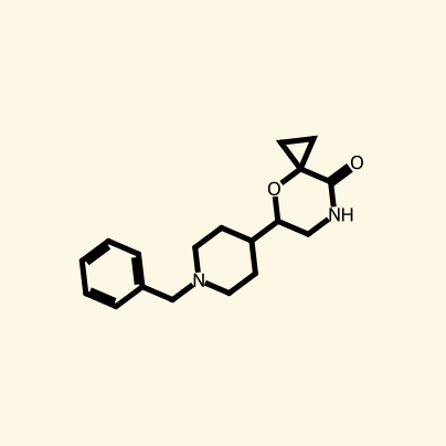 O=C1NCC(C2CCN(Cc3ccccc3)CC2)OC12CC2